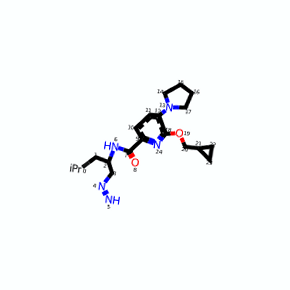 CC(C)CC(CN=N)NC(=O)c1ccc(N2CCCC2)c(OCC2CC2)n1